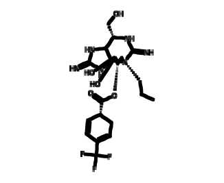 CCC[C@H]1[C@H](OC(=O)[C@H]2C=CC(C(F)(F)F)=CC2)C(O)(O)C23NC(=N)NC2[C@H](CO)NC(=N)N13